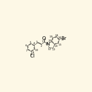 O=C(C=Cc1cccc(Cl)c1)N1CCc2cc(Br)ccc21